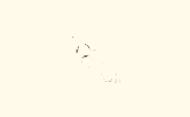 COc1ccc2c(c1)CCC2CC1CCNCC1.Cl